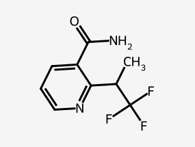 CC(c1ncccc1C(N)=O)C(F)(F)F